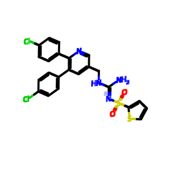 N/C(=N\S(=O)(=O)c1cccs1)NCc1cnc(-c2ccc(Cl)cc2)c(-c2ccc(Cl)cc2)c1